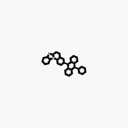 c1ccc(-c2c3ccccc3c(-c3ccc4c(ccc5nc6ccccc6n54)c3)c3ccccc23)cc1